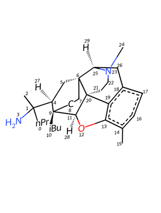 CCCC(C)(N)[C@H]1C[C@@]23CC[C@]1(C(C)CC)[C@@H]1Oc4c(C)ccc5c4[C@@]12CCN(C)[C@@H]3C5